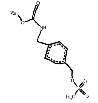 CC(C)(C)OC(=O)NCc1ccc(COS(C)(=O)=O)cc1